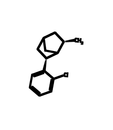 C[C@H]1CC2CC1[C@H](c1ccccc1Cl)C2